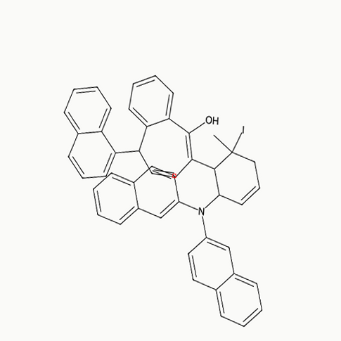 CC1(I)CC=CC(N(c2ccc3ccccc3c2)c2ccc3ccccc3c2)C1C1=C(O)c2ccccc2C(c2cccc3ccccc23)C=C1